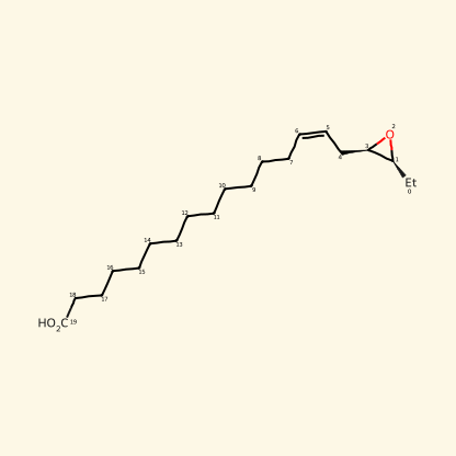 CC[C@@H]1O[C@@H]1C/C=C\CCCCCCCCCCCCC(=O)O